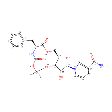 CC(C)(C)OC(=O)N[C@@H](Cc1ccccc1)C(=O)OC[C@H]1O[C@@H](N2C=CCC(C(N)=O)=C2)[C@H](O)[C@@H]1O